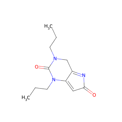 CCCN1CC2=NC(=O)C=C2N(CCC)C1=O